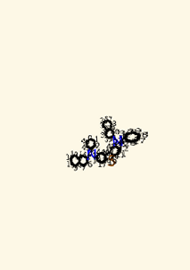 c1ccc(N(c2ccc3ccccc3c2)c2ccc3sc4ccc(N(c5ccccc5)c5ccc6ccccc6c5)cc4c3c2)cc1